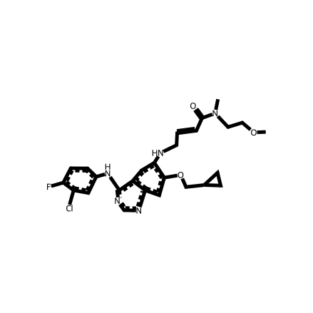 COCCN(C)C(=O)C=CCNc1cc2c(Nc3ccc(F)c(Cl)c3)ncnc2cc1OCC1CC1